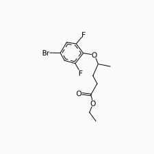 CCOC(=O)CCC(C)Oc1c(F)cc(Br)cc1F